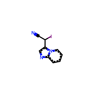 N#CC(I)c1cnc2ccccn12